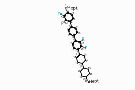 CCCCCCCc1ccc(-c2ccc(-c3ccc(C4=CCC(C5CCC(CCCCCCC)CC5)CC4)c(F)c3F)cc2)c(F)c1F